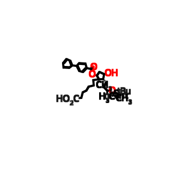 CCCCCC(CC[C@H]1C(O)C[C@H](OC(=O)c2ccc(-c3ccccc3)cc2)[C@]1(C)CCCCCCC(=O)O)O[Si](C)(C)C(C)(C)C